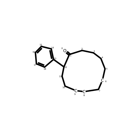 O=C1CCCCCCCCCCC1c1ccccc1